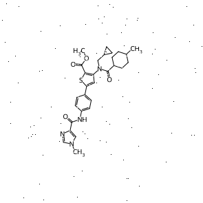 COC(=O)c1sc(-c2ccc(NC(=O)c3cn(C)cn3)cc2)cc1N(CC1CC1)C(=O)C1CCC(C)CC1